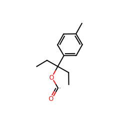 CCC(CC)(O[C]=O)c1ccc(C)cc1